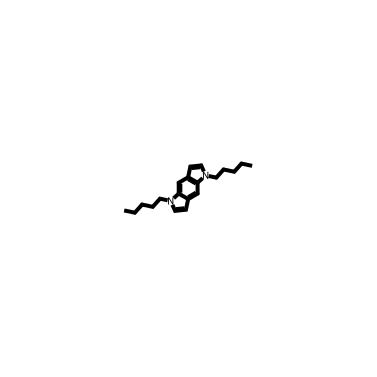 CCCCCn1ccc2cc3c(ccn3CCCCC)cc21